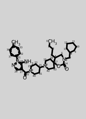 CCCCC1CN(CC2CCCCC2)C(=O)OC12CCN(C1CCN(C(=O)c3cnn(-c4ccc(C)cc4)c3N)CC1)CC2